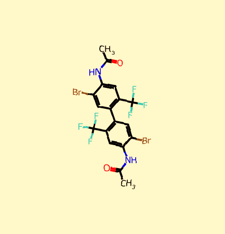 CC(=O)Nc1cc(C(F)(F)F)c(-c2cc(Br)c(NC(C)=O)cc2C(F)(F)F)cc1Br